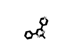 Cc1nc(-c2ccccc2)cc(-c2ccncc2)n1